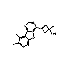 Cc1nnc2sc3c(N4CC(C)(O)C4)ncnc3c2c1C